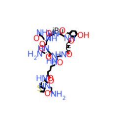 CC[C@H](C)[C@@H]1NC(=O)[C@H](Cc2ccc(O)cc2)NC(=O)CCC(=O)NC[C@@H](C(=O)NCCCCC(=O)N[C@@H](Cc2cccs2)C(=O)NCC(N)=O)NC(=O)[C@H](CC(N)=O)NC(=O)[C@H](CCC(N)=O)NC1=O